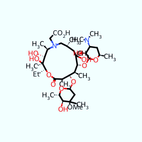 CC[C@H]1OC(=O)[C@H](C)[C@@H](O[C@H]2C[C@@](C)(OC)[C@@H](O)[C@H](C)O2)[C@H](C)[C@@H](O[C@@H]2O[C@H](C)C[C@H](N(C)C)[C@H]2O)[C@](C)(O)C[C@@H](C)CN(CC(=O)O)[C@H](C)[C@@H](O)[C@]1(C)O